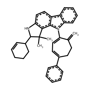 C=C1CCC(c2ccccc2)=CC=C1n1c2ccccc2c2ccc3c(c21)C(C)(C)C(C1C=CCCC1)N3